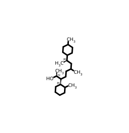 CC1CCC([C@H](C)CC(C)CCC([C@@H]2CCCCC2C)[C@H](C)O)CC1